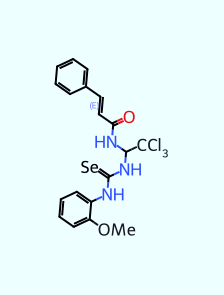 COc1ccccc1NC(=[Se])NC(NC(=O)/C=C/c1ccccc1)C(Cl)(Cl)Cl